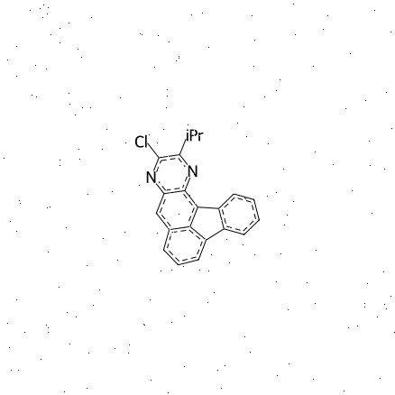 CC(C)c1nc2c3c4c(cccc4cc2nc1Cl)-c1ccccc1-3